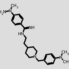 CN(C)c1ccc(CN2CCC(CCNC(=N)c3ccc(N(C)N)cc3)CC2)cc1